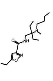 CCCCN(C)C(CC)(CC)CNC(=O)c1cc(CC)on1